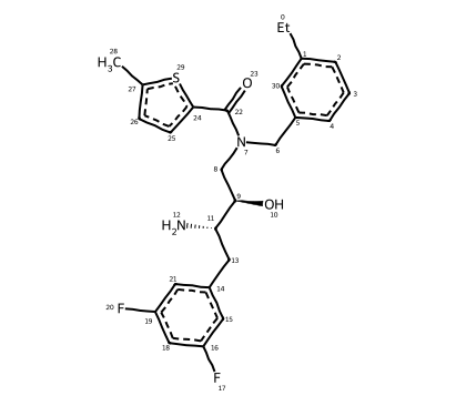 CCc1cccc(CN(C[C@@H](O)[C@@H](N)Cc2cc(F)cc(F)c2)C(=O)c2ccc(C)s2)c1